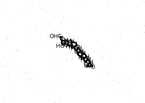 C=C(C=O)CC1CC(O)[C@]2(C)O[C@@H]3C[C@@H]4O[C@@H]5C[C@]6(C)O[C@]7(C)CC[C@@H]8O[C@@H]9C[C@]%10(C)O[C@@H]%11C(C)=CC(=O)O[C@H]%11C[C@H]%10O[C@H]9C[C@@H](C)[C@H]8O[C@H]7C[C@H]6O[C@@]5(C)C/C=C\[C@H]4O[C@H]3C[C@H]2O1